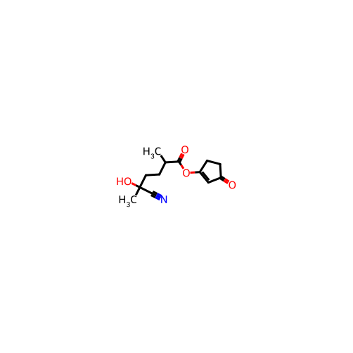 CC(CCC(C)(O)C#N)C(=O)OC1=CC(=O)CC1